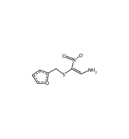 NC=C(SCc1ccco1)[N+](=O)[O-]